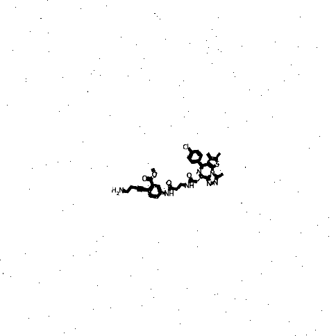 COC(=O)c1cc(NC(=O)CCNC(=O)C[C@@H]2N=C(c3ccc(Cl)cc3)c3c(sc(C)c3C)-n3c(C)nnc32)ccc1C#CCCN